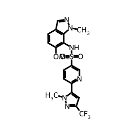 COc1ccc2cnn(C)c2c1NS(=O)(=O)c1ccc(-c2cc(C(F)(F)F)nn2C)nc1